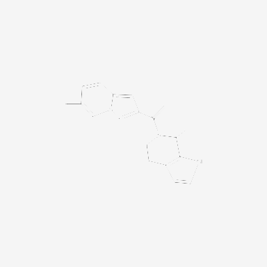 CC1c2[nH]ccc2CCN1C(=O)c1cc2ccc(Cl)cn2n1